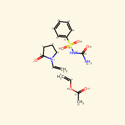 C=CN1CCCC1=O.C=COC(C)=O.NC(=O)NS(=O)(=O)c1ccccc1